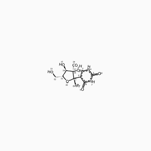 CCC[C@@]1(c2c[nH]c(=O)[nH]c2=O)O[C@H](CO)[C@@H](O)[C@]1(O)C(=O)O